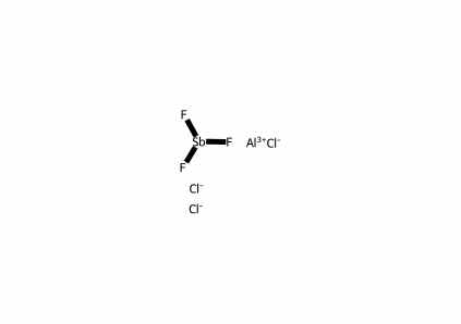 [Al+3].[Cl-].[Cl-].[Cl-].[F][Sb]([F])[F]